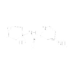 CC1(NC(=O)c2cc(N)ccn2)CCOCC1